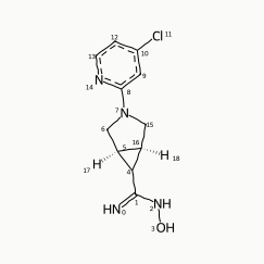 N=C(NO)C1[C@H]2CN(c3cc(Cl)ccn3)C[C@@H]12